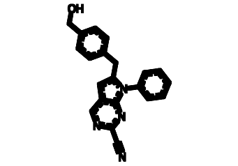 N#Cc1ncc2cc(Cc3ccc(CO)cc3)n(-c3ccccc3)c2n1